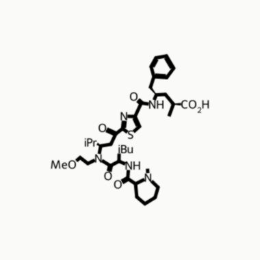 CCC(C)C(NC(=O)C1CCCCN1C)C(=O)N(CCOC)[C@H](CC(=O)c1nc(C(=O)N[C@@H](Cc2ccccc2)C[C@H](C)C(=O)O)cs1)C(C)C